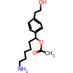 CC(=O)OC(CCCCCN)c1ccc(CCO)cc1